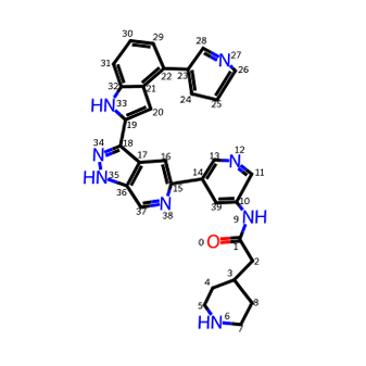 O=C(CC1CCNCC1)Nc1cncc(-c2cc3c(-c4cc5c(-c6cccnc6)cccc5[nH]4)n[nH]c3cn2)c1